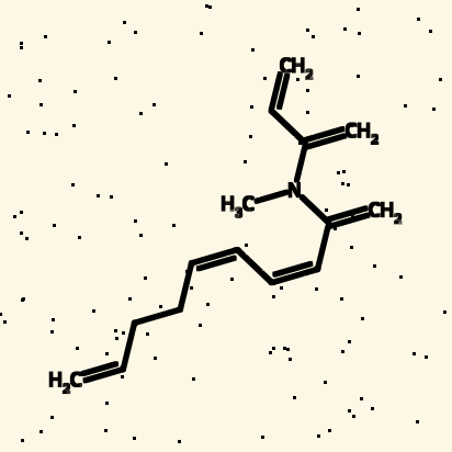 C=CCC/C=C\C=C/C(=C)N(C)C(=C)C=C